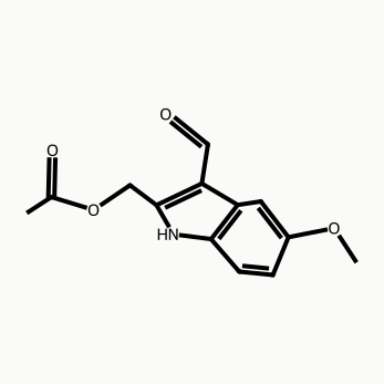 COc1ccc2[nH]c(COC(C)=O)c(C=O)c2c1